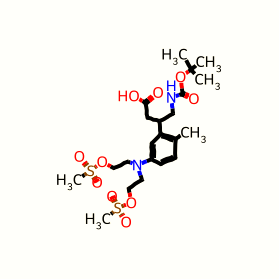 Cc1ccc(N(CCOS(C)(=O)=O)CCOS(C)(=O)=O)cc1C(CNC(=O)OC(C)(C)C)CC(=O)O